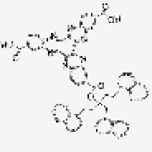 O=C(O)c1ccc2nc3c4nc5ccc(C(=O)O)cc5nc4c4nc5cc(C(=O)OC(CCc6cccc7ccccc67)(CCc6cccc7ccccc67)Cc6cccc7ccccc67)ccc5nc4c3nc2c1